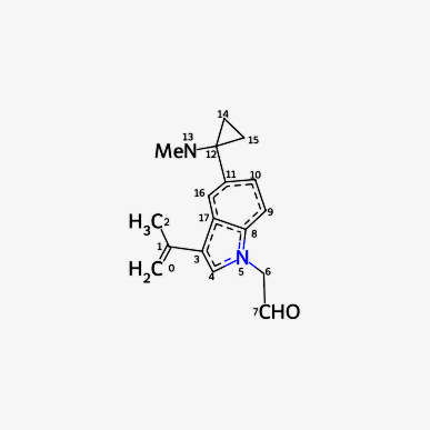 C=C(C)c1cn(CC=O)c2ccc(C3(NC)CC3)cc12